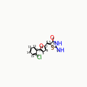 N=C1NC(=O)/C(=C/c2ccc(-c3ccccc3Cl)o2)S1